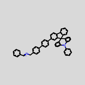 C(=N\Cc1ccc(-c2ccc(-c3ccc4c(c3)C3(c5ccccc5-4)c4ccccc4N(c4ccccc4)c4ccccc43)cc2)cc1)/c1ccccc1